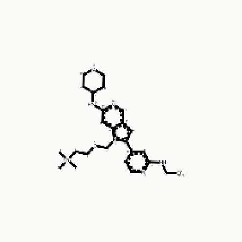 C[Si](C)(C)CCOCn1c(-c2ccnc(NCC(F)(F)F)c2)cc2cnc(NC3CCOCC3)cc21